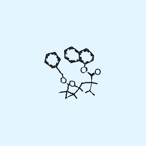 CC(C)C(C)(CC(C)(C)C1(C)CC1(C)C(=O)OCc1ccccc1)C(=O)Oc1cccc2ccccc12